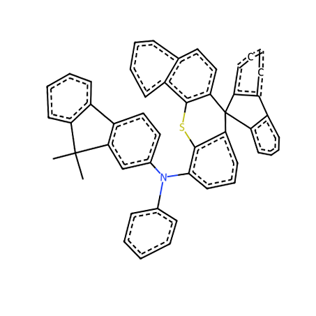 CC1(C)c2ccccc2-c2ccc(N(c3ccccc3)c3cccc4c3Sc3c(ccc5ccccc35)C43c4ccccc4-c4ccccc43)cc21